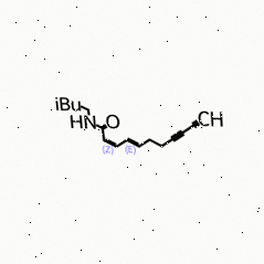 C#CC#CCC/C=C/C=C\C(=O)NCC(C)CC